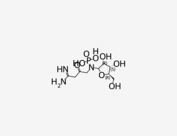 N=C(N)CC(=O)CN(C1O[C@H](CO)[C@@H](O)[C@H]1O)P(=O)(O)O